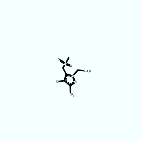 CS(=O)(=O)Cc1c(Cl)c(C(F)(F)F)nn1CC(=O)O